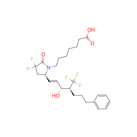 O=C(O)CCCCCCN1C(=O)C(F)(F)C[C@@H]1/C=C/[C@@H](O)[C@H](CCCc1ccccc1)C(F)(F)F